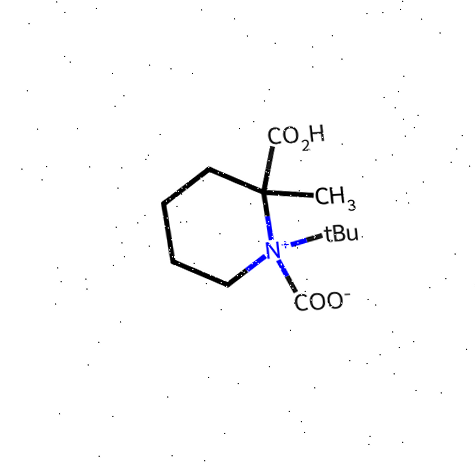 CC(C)(C)[N+]1(C(=O)[O-])CCCCC1(C)C(=O)O